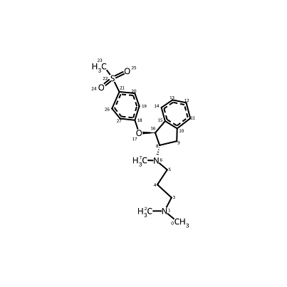 CN(C)CCCN(C)[C@H]1Cc2ccccc2[C@@H]1Oc1ccc(S(C)(=O)=O)cc1